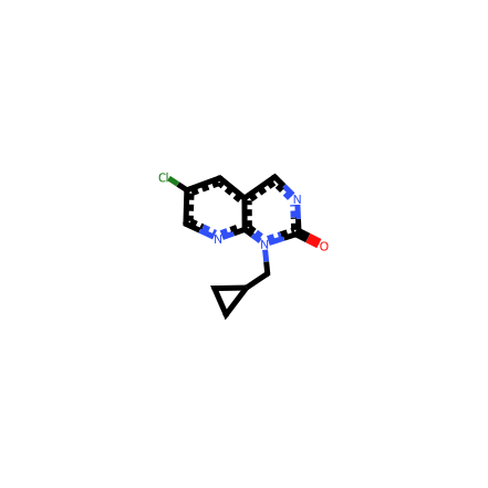 O=c1ncc2cc(Cl)cnc2n1CC1CC1